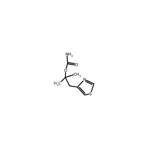 CC(C)(Cc1cscn1)OC(N)=O